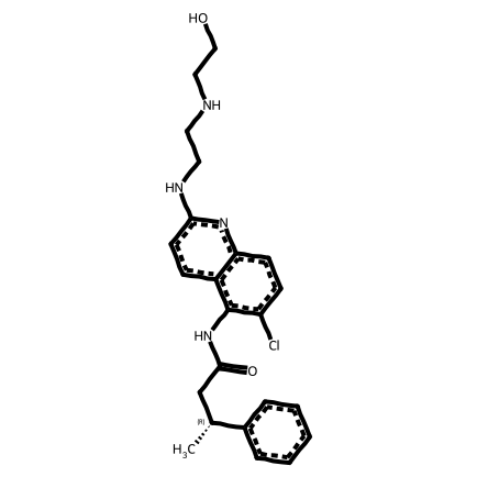 C[C@H](CC(=O)Nc1c(Cl)ccc2nc(NCCNCCO)ccc12)c1ccccc1